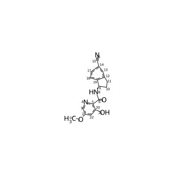 COc1cnc(C(=O)N[C@@H]2CCc3cc(C#N)ccc32)c(O)c1